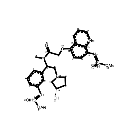 CO[SH](=O)=Nc1cccc(C(CN2CC[C@H](O)C2)N(C)C(=O)COc2ccc(N=[SH](=O)OC)c3ncccc23)c1